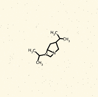 CC(C)C1CC2N(C1)CN2C(C)C